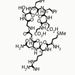 CSCC[C@H](N)C(=O)N[C@@H](CCCNC(=N)N)C(=O)N[C@@H](CC(N)=O)C(=O)NCC(=O)NCC(=O)N[C@@H](CO)C(=O)N[C@@H](CC(C)C)C(=O)N[C@@H](CC(C)C)C(=O)N[C@@H](CC(=O)O)C(=O)NCC(=O)O